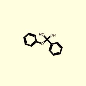 N#CC(O)(Oc1ccccc1)c1ccccc1